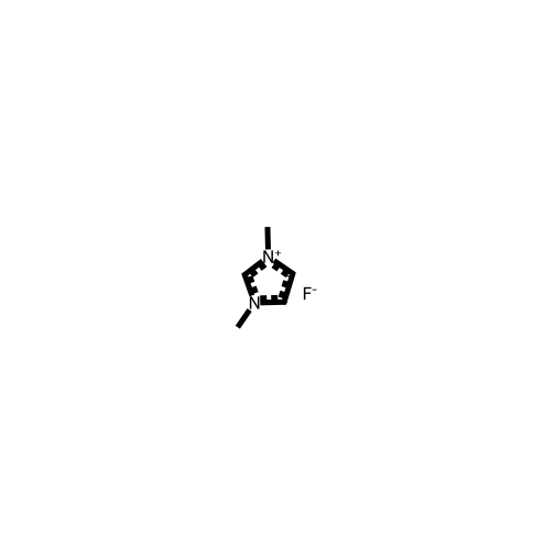 Cn1cc[n+](C)c1.[F-]